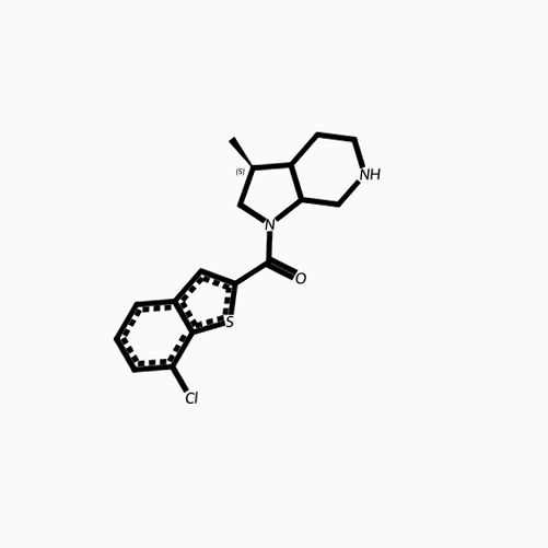 C[C@@H]1CN(C(=O)c2cc3cccc(Cl)c3s2)C2CNCCC21